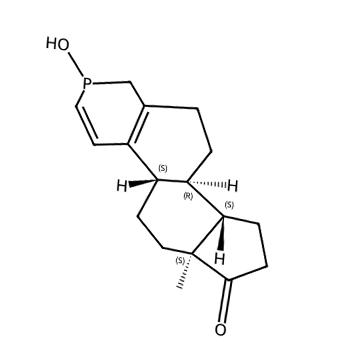 C[C@]12CC[C@@H]3C4=C(CC[C@H]3[C@@H]1CCC2=O)CP(O)C=C4